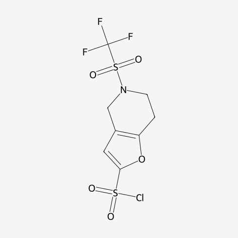 O=S(=O)(Cl)c1cc2c(o1)CCN(S(=O)(=O)C(F)(F)F)C2